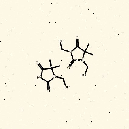 CC1(C)C(=O)N(CO)C(=O)N1CO.CC1(C)C(=O)NC(=O)N1CO